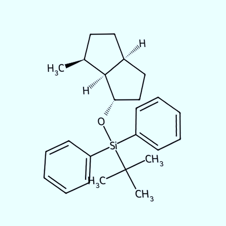 C[C@H]1CC[C@H]2CC[C@H](O[Si](c3ccccc3)(c3ccccc3)C(C)(C)C)[C@H]21